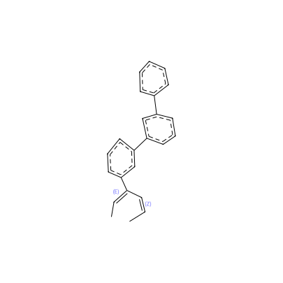 C/C=C\C(=C/C)c1cccc(-c2cccc(-c3ccccc3)c2)c1